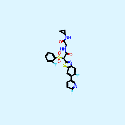 O=C(CNC(=O)C(c1nc2cc(F)c(-c3ccc(F)nc3)cc2s1)S(=O)(=O)c1ccccc1F)NC1CC1